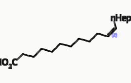 CCCCCCC/C=C\CCCCCCCCCC(=O)O